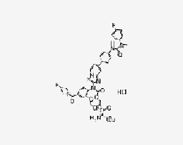 C[C@@H](C(=O)Nc1ccc(-c2ccn3nc(N(C(=O)OCOC(=O)[C@@H](N)C(C)(C)C)c4ccc(C(=O)N5CC(F)C5)cc4OCC(F)(F)F)nc3c2)cc1)c1ccc(F)cc1.Cl